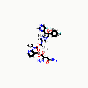 CC(OC(=O)N(C)c1ncccc1COC(=O)[C@@H](N)CC(N)=O)[n+]1cnn(CC(O)(c2ccc(F)cc2F)[C@@H](C)c2ncncc2F)c1